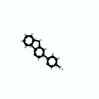 Fc1ccc(-c2ccc3c(c2)Cc2ccccc2-3)cc1